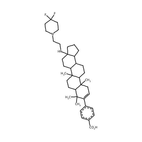 CC1(C)C(c2ccc(C(=O)O)cc2)=CCC2(C)C1CCC1(C)C3CCC4(NCCN5CCC(F)(F)CC5)CCCC4C3CCC12